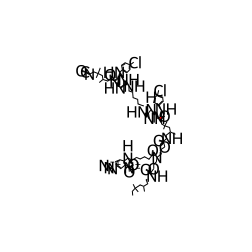 CCC(C)(C)CC(C)CCNC(=O)OCCN(CCOC(=O)NCC(C)CC(C)(C)CC(=O)/N=C(/NC(=N)NCCCCCCNC(=N)N/C(=N/C(=O)CC(C)CC(C)(C)CN=C=O)Nc1ccc(Cl)cc1)Nc1ccc(Cl)cc1)C(=O)CCCCCNc1ccc(N=[N+]=[N-])cc1[N+](=O)[O-]